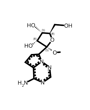 CO[C@@]1(c2ccc3c(N)ncnn23)O[C@H](CO)[C@@H](O)[C@H]1O